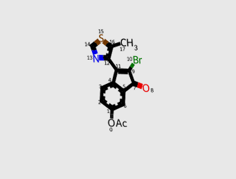 CC(=O)Oc1ccc2c(c1)C(=O)C(Br)=C2c1ncsc1C